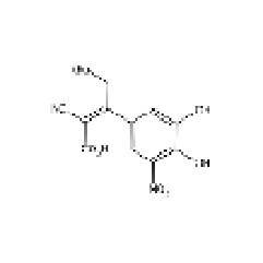 CC(C)(C)CC(=C(C#N)C(=O)O)c1cc(O)c(O)c([N+](=O)[O-])c1